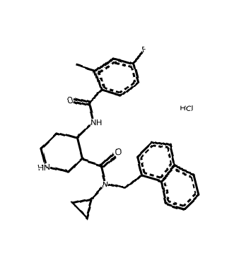 Cc1cc(F)ccc1C(=O)NC1CCNCC1C(=O)N(Cc1cccc2ccccc12)C1CC1.Cl